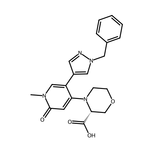 Cn1cc(-c2cnn(Cc3ccccc3)c2)c(N2CCOC[C@@H]2C(=O)O)cc1=O